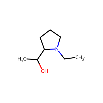 [CH2]CN1CCCC1C(C)O